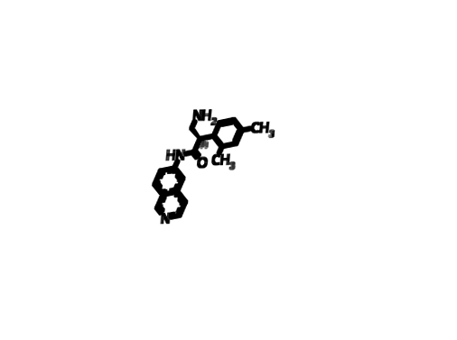 CC1=CC(C)C([C@H](CN)C(=O)Nc2ccc3cnccc3c2)C=C1